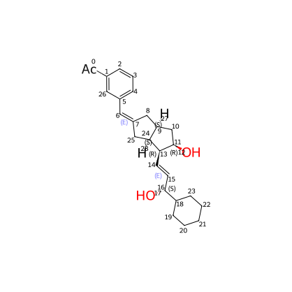 CC(=O)c1cccc(/C=C2\C[C@H]3C[C@@H](O)[C@@H](/C=C/[C@@H](O)C4CCCCC4)[C@H]3C2)c1